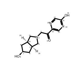 O=C(CN1C[C@H]2C[C@@H](O)C[C@H]2C1)c1cnc(O)cn1